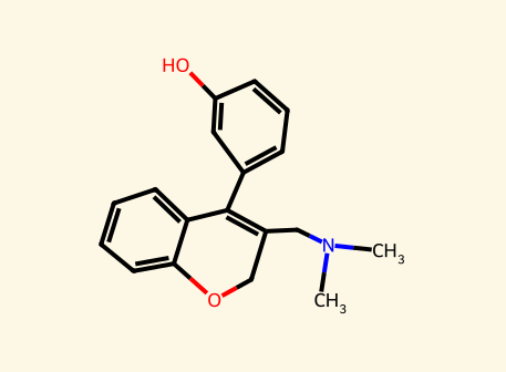 CN(C)CC1=C(c2cccc(O)c2)c2ccccc2OC1